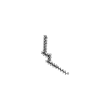 CCCCCCCCCCCCCCCCC(C)CCCC(C)CCCC(C)CCCCCCCCCCCC